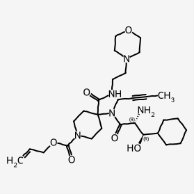 C=CCOC(=O)N1CCC(C(=O)NCCN2CCOCC2)(N(CC#CC)C(=O)[C@H](N)[C@H](O)C2CCCCC2)CC1